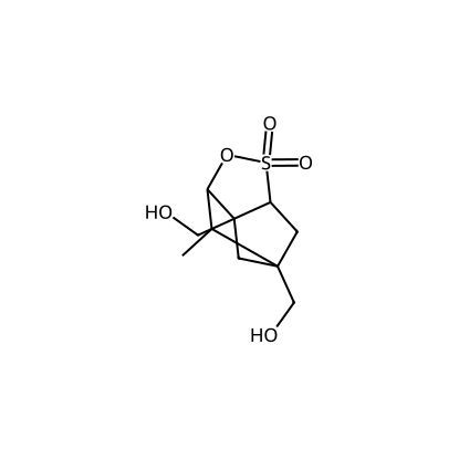 CC1C2OS(=O)(=O)C3CC1(CO)CC23CO